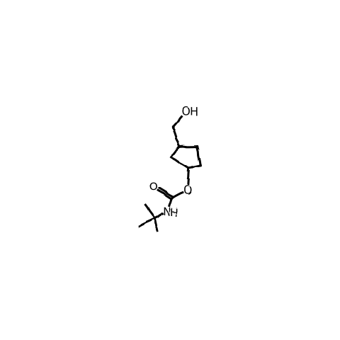 CC(C)(C)NC(=O)OC1CCC(CO)C1